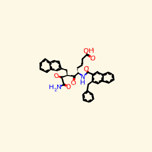 NC(=O)C(=O)[C@@H](Cc1ccc2ccccc2c1)C(=O)[C@H](CCCC(=O)O)NC(=O)c1cc2ccccc2cc1Cc1ccccc1